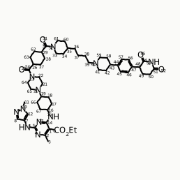 CCOC(=O)c1c(C)nc(Nc2cnn(C)c2)nc1NC1CCC(N2CCN(C(=O)C3CCC(C(=O)N4CCC(CCCCN5CCC(c6ccc(C7CCC(=O)NC7=O)cc6)CC5)CC4)CC3)CC2)CC1